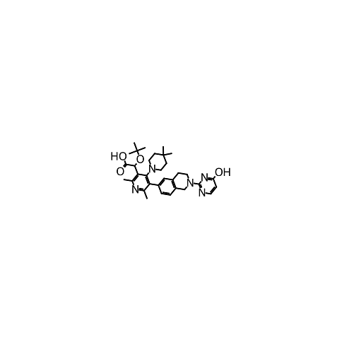 Cc1nc(C)c([C@H](OC(C)(C)C)C(=O)O)c(N2CCC(C)(C)CC2)c1-c1ccc2c(c1)CCN(c1nccc(O)n1)C2